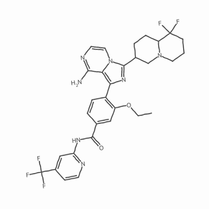 CCOc1cc(C(=O)Nc2cc(C(F)(F)F)ccn2)ccc1-c1nc(C2CCC3N(CCCC3(F)F)C2)n2ccnc(N)c12